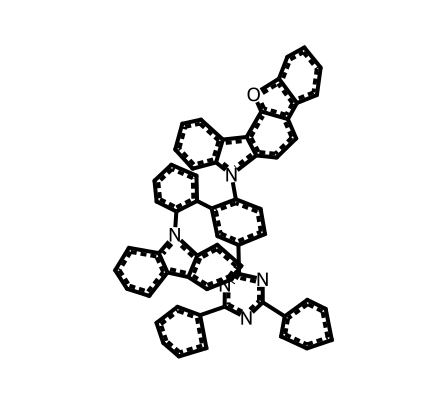 c1ccc(-c2nc(-c3ccccc3)nc(-c3ccc(-n4c5ccccc5c5c6oc7ccccc7c6ccc54)c(-c4ccccc4-n4c5ccccc5c5ccccc54)c3)n2)cc1